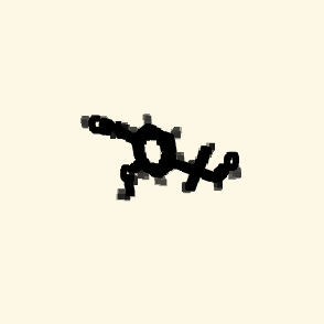 [C-]#[N+]c1ccc(C(C)(C)C=O)cc1OC